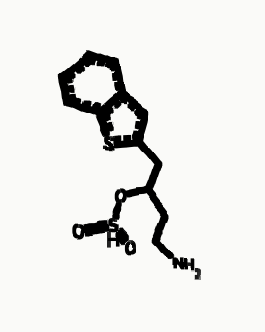 NCCC(Cc1cc2ccccc2s1)O[SH](=O)=O